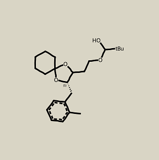 Cc1ccccc1C[C@@H]1OC2(CCCCC2)OC1CCOC(O)C(C)(C)C